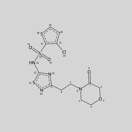 O=C1COCCN1CCc1nsc(NS(=O)(=O)c2sccc2Cl)n1